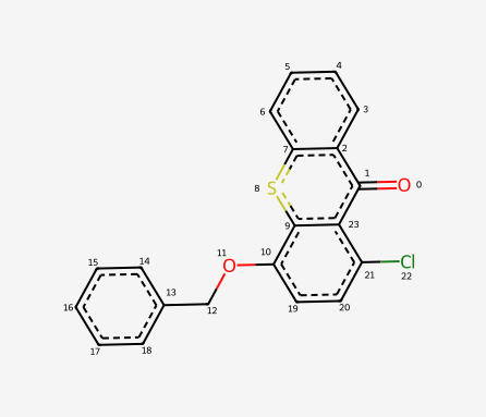 O=c1c2ccccc2sc2c(OCc3ccccc3)ccc(Cl)c12